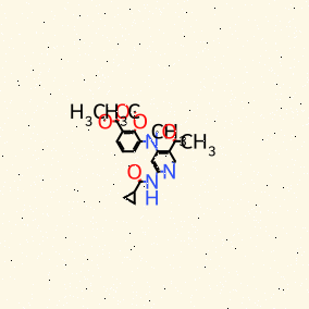 COC(=O)c1cccc(N(C)c2cc(NC(=O)C3CC3)ncc2C(C)=O)c1OC